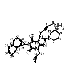 CC#CCn1c(N2CCCC(N)C2)nc2c1c(=O)n(C1c3ccc4ccccc4c31)c(=O)n2CC#N